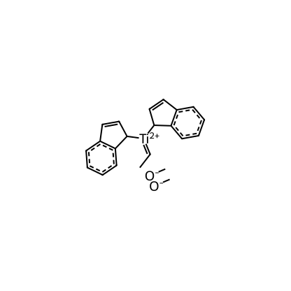 C[CH]=[Ti+2]([CH]1C=Cc2ccccc21)[CH]1C=Cc2ccccc21.C[O-].C[O-]